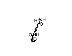 O=C(CCCCCNC(=O)c1ccco1)NO